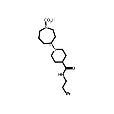 CC(C)CCNC(=O)C1CCN([C@H]2CCCN(C(=O)O)CC2)CC1